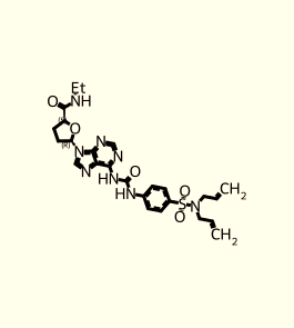 C=CCN(CC=C)S(=O)(=O)c1ccc(NC(=O)Nc2ncnc3c2ncn3[C@H]2CC[C@@H](C(=O)NCC)O2)cc1